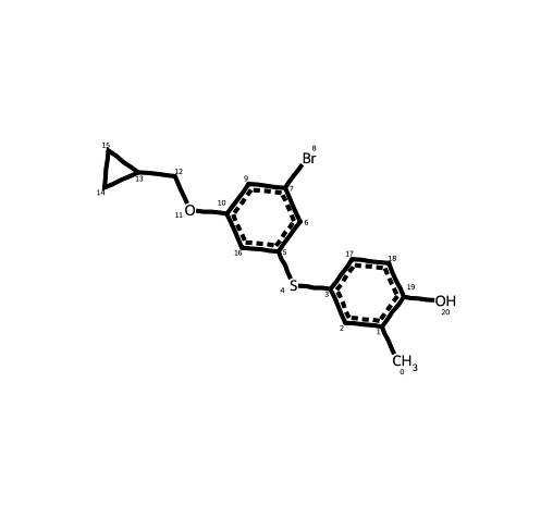 Cc1cc(Sc2cc(Br)cc(OCC3CC3)c2)ccc1O